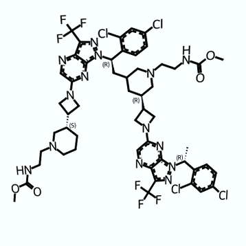 COC(=O)NCCN1CCC[C@@H](C2CN(c3cnc4c(C(F)(F)F)nn([C@H](CC5C[C@H](C6CN(c7cnc8c(C(F)(F)F)nn([C@H](C)c9ccc(Cl)cc9Cl)c8n7)C6)CN(CCNC(=O)OC)C5)c5ccc(Cl)cc5Cl)c4n3)C2)C1